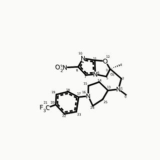 CN(C[C@@]1(C)Cn2cc([N+](=O)[O-])nc2O1)C1CCN(c2ccc(C(F)(F)F)cc2)CC1